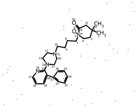 CC1(C)CC[N+]([O-])(CCCCN2CCN(c3ncccc3-c3ccccc3)CC2)C(=O)C1